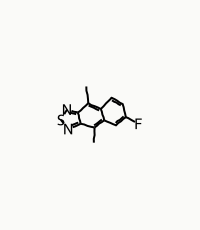 Cc1c2ccc(F)cc2c(C)c2nsnc12